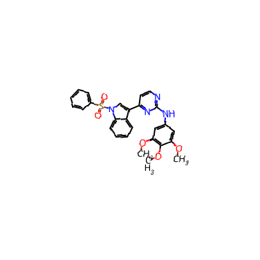 COc1cc(Nc2nccc(-c3cn(S(=O)(=O)c4ccccc4)c4ccccc34)n2)cc(OC)c1OC